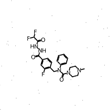 CN1CCN(C(=O)N(Cc2ccc(C(=O)NNC(=O)C(F)F)cc2F)c2ccccc2)CC1